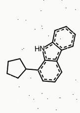 c1ccc2c(c1)[nH]c1c(C3CCCC3)cccc12